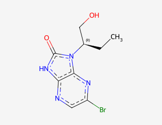 CC[C@H](CO)n1c(=O)[nH]c2ncc(Br)nc21